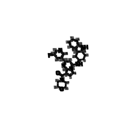 O=C(c1ccn2c(N[C@@H]3CCc4[nH]c5ccccc5c4C3)cc(-c3cncc(F)c3)nc12)N1CCOCC1